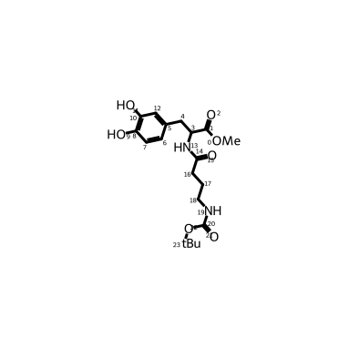 COC(=O)C(Cc1ccc(O)c(O)c1)NC(=O)CCCNC(=O)OC(C)(C)C